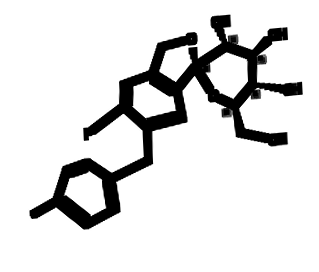 Cc1ccc(Cc2cc3c(cc2F)CO[C@]32O[C@H](CO)[C@@H](O)[C@H](O)[C@H]2O)cc1